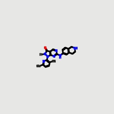 CCn1c(=O)c2cnc(Nc3ccc4c(c3)CCNC4)nc2n1-c1nc(C(C)(C)C)ccc1C#N